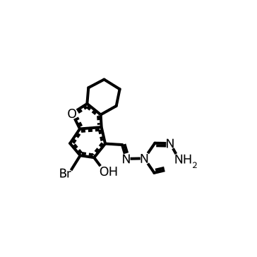 C=CN(/C=N\N)/N=C/c1c(O)c(Br)cc2oc3c(c12)CCCC3